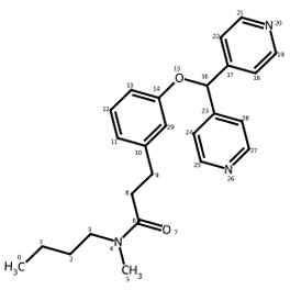 CCCCN(C)C(=O)CCc1cccc(OC(c2ccncc2)c2ccncc2)c1